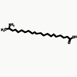 CC(N)CCCCCCCCCCCCCCCCCCC(=O)O